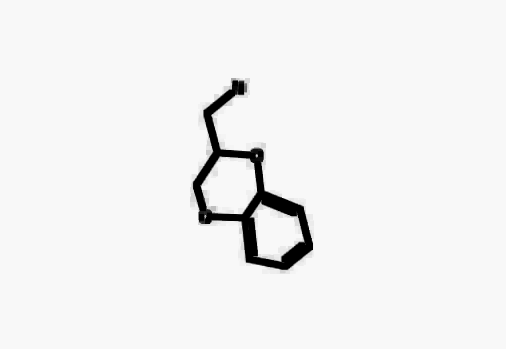 [N]CC1COc2ccccc2O1